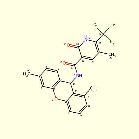 Cc1ccc2c(c1)Oc1cccc(C)c1C2NC(=O)c1cc(C)c(C(F)(F)F)[nH]c1=O